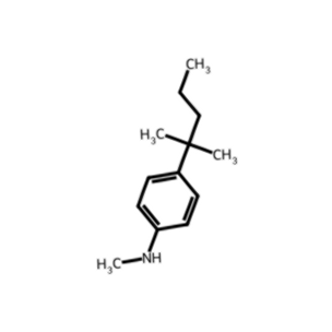 CCCC(C)(C)c1ccc(NC)cc1